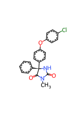 CN1C(=O)N[C@@](c2ccccc2)(c2ccc(Oc3ccc(Cl)cc3)cc2)C1=O